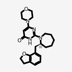 O=c1cc(N2CCOCC2)nc(N2CCCCC[C@H]2Cc2cccc3c2OCC3)[nH]1